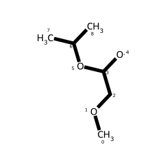 COCC([O])OC(C)C